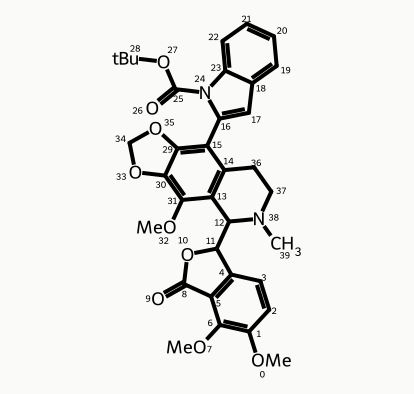 COc1ccc2c(c1OC)C(=O)OC2C1c2c(c(-c3cc4ccccc4n3C(=O)OC(C)(C)C)c3c(c2OC)OCO3)CCN1C